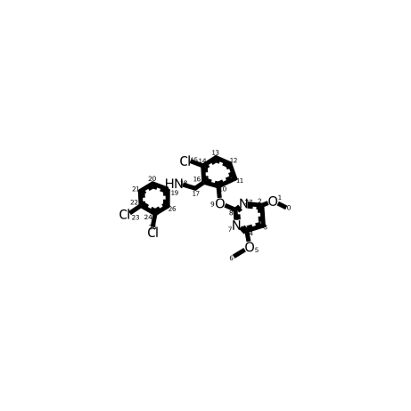 COc1cc(OC)nc(Oc2cccc(Cl)c2CNc2ccc(Cl)c(Cl)c2)n1